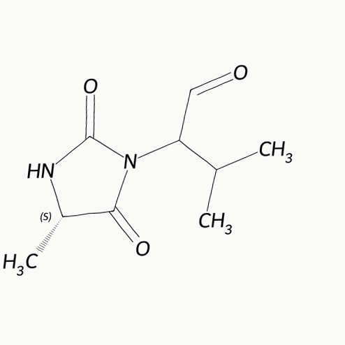 CC(C)C(C=O)N1C(=O)N[C@@H](C)C1=O